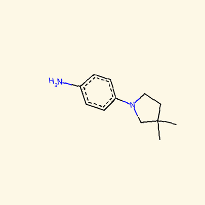 CC1(C)CCN(c2ccc(N)cc2)C1